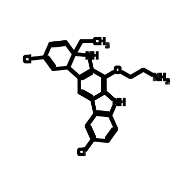 CCC12C=CC(Cl)=CC1c1cc3c([nH]c4ccc(Cl)cc43)c(OCCN)c1N2